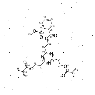 C=C(C)C(=O)OCCc1nc(CCOC(=O)C(=C)C)nc(CCOC(=O)c2ccccc2C(=O)OC)n1